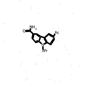 CCCn1c2ccc(C(C)=O)cc2c2cc(C(N)=O)ccc21